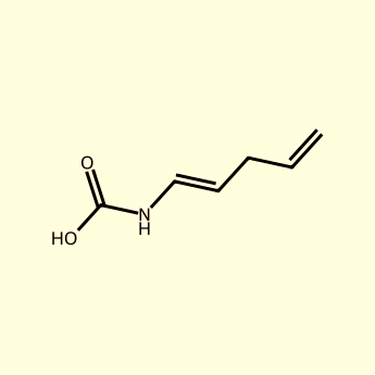 C=CCC=CNC(=O)O